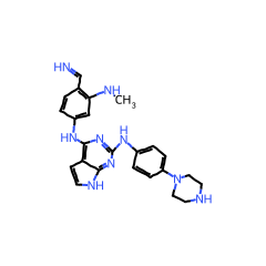 CNc1cc(Nc2nc(Nc3ccc(N4CCNCC4)cc3)nc3[nH]ccc23)ccc1C=N